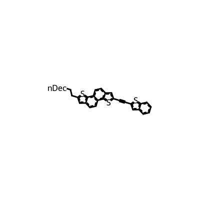 CCCCCCCCCCCCc1cc2ccc3c(ccc4cc(C#Cc5cc6ccccc6s5)sc43)c2s1